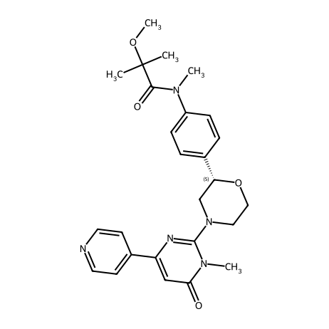 COC(C)(C)C(=O)N(C)c1ccc([C@H]2CN(c3nc(-c4ccncc4)cc(=O)n3C)CCO2)cc1